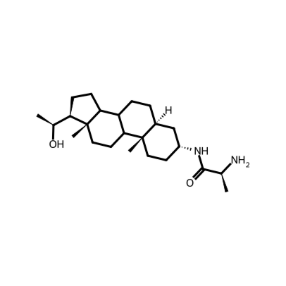 C[C@H](N)C(=O)N[C@@H]1CC[C@]2(C)C3CC[C@@]4(C)C(CC[C@@H]4[C@H](C)O)C3CC[C@H]2C1